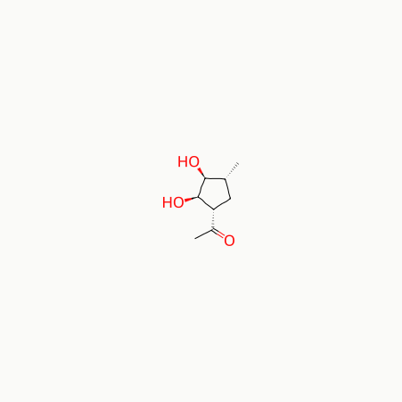 CC(=O)[C@H]1C[C@@H](C)[C@H](O)[C@@H]1O